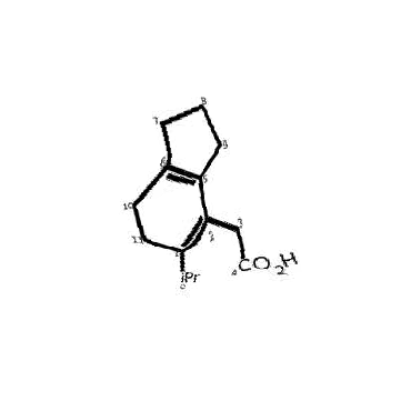 CC(C)C1=C(CC(=O)O)C2=C(CCC2)CC1